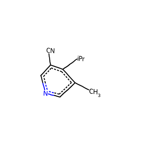 Cc1cncc(C#N)c1C(C)C